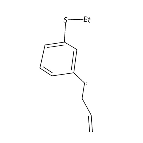 C=CC[C]c1cccc(SCC)c1